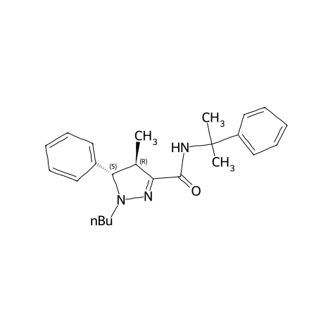 CCCCN1N=C(C(=O)NC(C)(C)c2ccccc2)[C@H](C)[C@H]1c1ccccc1